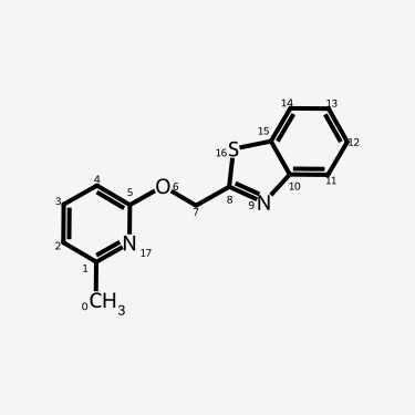 Cc1cccc(OCc2nc3ccccc3s2)n1